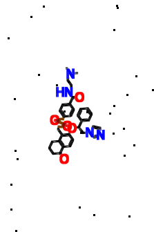 CN(C)CCNC(=O)c1ccc(S(=O)(=O)Cc2c(O[C@H](Cn3ccnc3)c3ccccc3)ccc3c2CCCC3=O)cc1